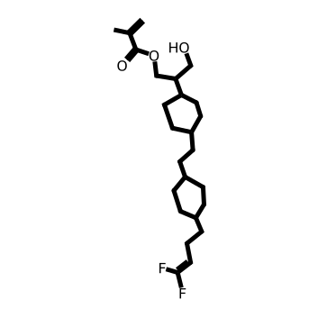 C=C(C)C(=O)OCC(CO)C1CCC(CCC2CCC(CCC=C(F)F)CC2)CC1